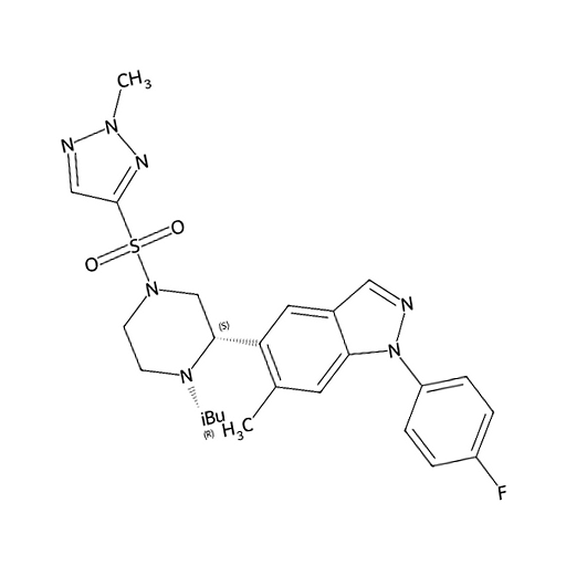 CC[C@@H](C)N1CCN(S(=O)(=O)c2cnn(C)n2)C[C@@H]1c1cc2cnn(-c3ccc(F)cc3)c2cc1C